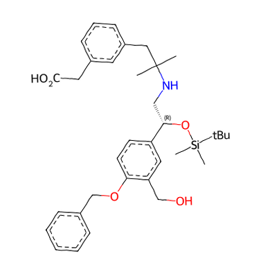 CC(C)(Cc1cccc(CC(=O)O)c1)NC[C@H](O[Si](C)(C)C(C)(C)C)c1ccc(OCc2ccccc2)c(CO)c1